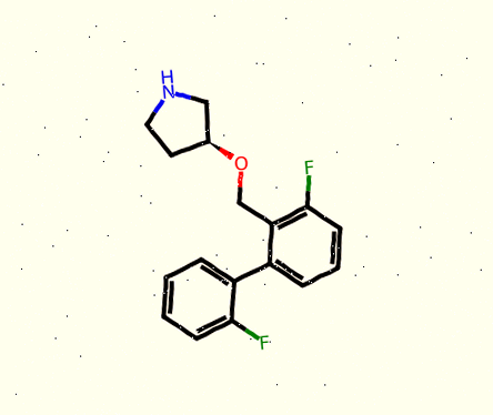 Fc1ccccc1-c1cccc(F)c1CO[C@H]1CCNC1